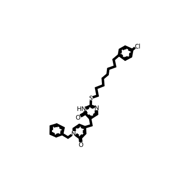 O=c1[nH]c(SCCCCCCCCc2ccc(Cl)cc2)ncc1Cc1ccn(Cc2ccccc2)c(=O)c1